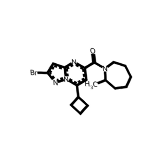 CC1CCCCCN1C(=O)c1cc(C2CCC2)n2nc(Br)cc2n1